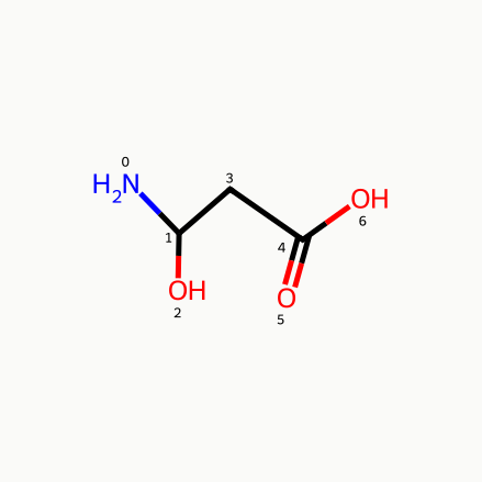 NC(O)CC(=O)O